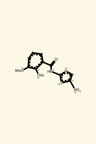 COc1cccc(C(=O)Nc2ncc([N+](=O)[O-])s2)c1OC(C)=O